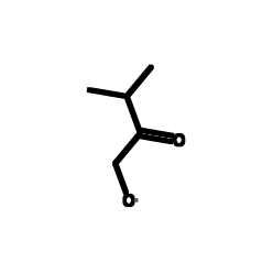 CC(C)C(=O)C[O]